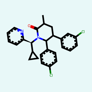 CC1CC(c2cccc(Cl)c2)C(c2ccc(Cl)cc2)N([C@H](c2ccccn2)C2CC2)C1=O